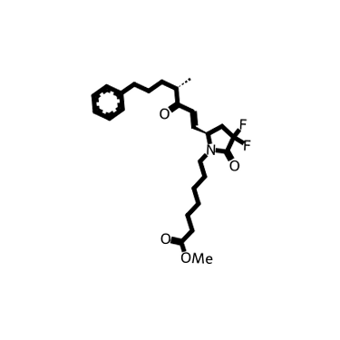 COC(=O)CCCCCCN1C(=O)C(F)(F)C[C@@H]1/C=C/C(=O)[C@@H](C)CCCc1ccccc1